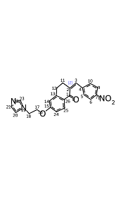 O=C1/C(=C\c2ccc([N+](=O)[O-])cc2)CCc2cc(OCCn3ccnc3)ccc21